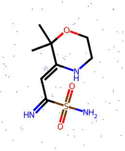 CC1(C)OCCN/C1=C\C(=N)S(N)(=O)=O